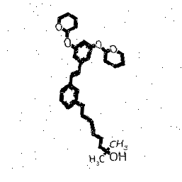 CC(C)(O)CCCCCCc1cccc(C=Cc2cc(OC3CCCCO3)cc(OC3CCCCO3)c2)c1